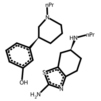 CCCN1CCC[C@@H](c2cccc(O)c2)C1.CCCN[C@H]1CCc2nc(N)sc2C1